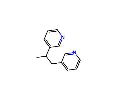 CC(Cc1cccnc1)c1[c]nccc1